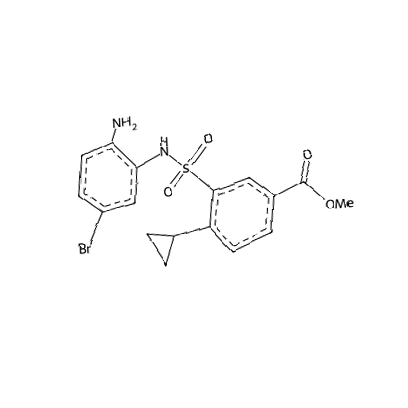 COC(=O)c1ccc(C2CC2)c(S(=O)(=O)Nc2cc(Br)ccc2N)c1